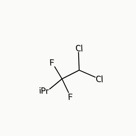 CC(C)C(F)(F)C(Cl)Cl